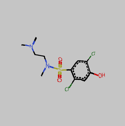 CN(C)CCN(C)S(=O)(=O)c1cc(Cl)c(O)cc1Cl